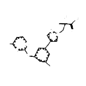 Cc1cc(Nc2nccc(C(F)(F)F)n2)cc(-c2cnn(C[C@@](C)(O)C(N)=O)c2)c1